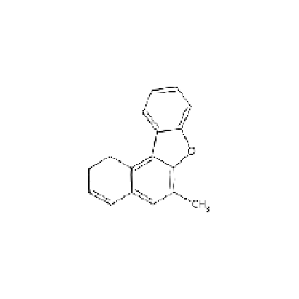 Cc1cc2c(c3c1oc1ccccc13)CCC=C2